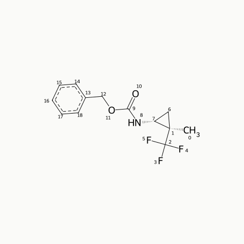 C[C@@]1(C(F)(F)F)C[C@H]1NC(=O)OCc1ccccc1